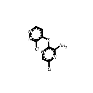 Nc1nc(Cl)cnc1Sc1ccnnc1Cl